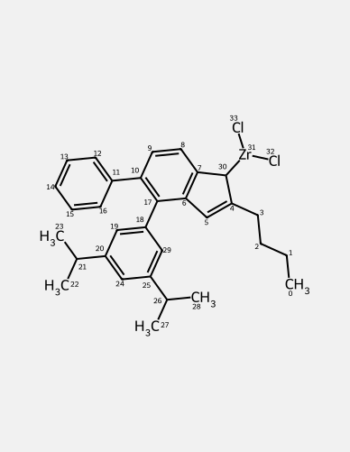 CCCCC1=Cc2c(ccc(-c3ccccc3)c2-c2cc(C(C)C)cc(C(C)C)c2)[CH]1[Zr]([Cl])[Cl]